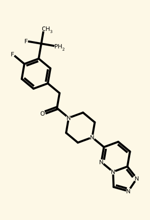 CC(F)(P)c1cc(CC(=O)N2CCN(c3ccc4nncn4n3)CC2)ccc1F